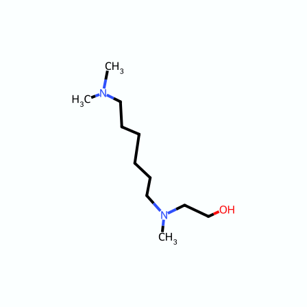 CN(C)CCCCCCN(C)CCO